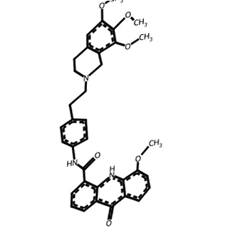 COc1cc2c(c(OC)c1OC)CN(CCc1ccc(NC(=O)c3cccc4c(=O)c5cccc(OC)c5[nH]c34)cc1)CC2